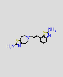 Nc1nc2c(s1)CCN(CC=Cc1cccc3nc(N)sc13)CC2